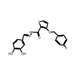 O=C(N/N=C/c1ccc(O)c(O)c1)c1sccc1OCc1ccc(F)cc1